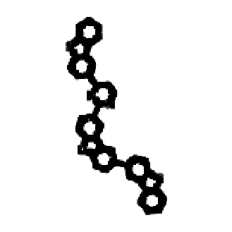 c1ccc2c(c1)sc1ccc(-c3ccc4oc5ccc(-c6nccc(-c7ccc8sc9ccccc9c8c7)n6)cc5c4c3)cc12